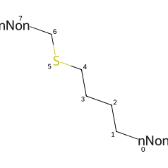 CCCCCCCCCCCCCSCCCCCCCCCC